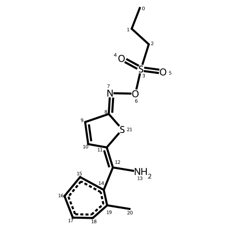 CCCS(=O)(=O)ON=C1C=C/C(=C(/N)c2ccccc2C)S1